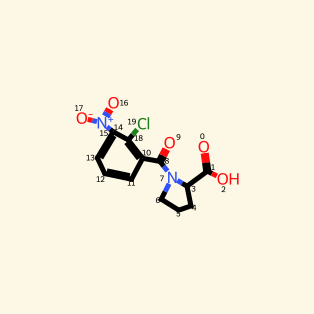 O=C(O)C1CCCN1C(=O)c1cccc([N+](=O)[O-])c1Cl